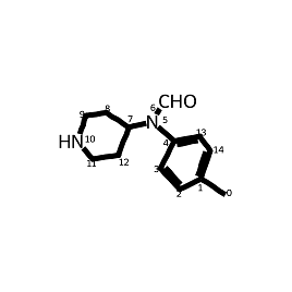 Cc1ccc(N(C=O)C2CCNCC2)cc1